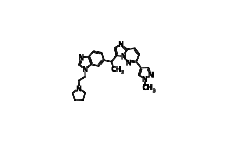 CC(c1ccc2ncn(CCN3CCCC3)c2c1)c1cnc2ccc(-c3cnn(C)c3)nn12